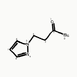 CC(C)(C)C(=O)CCn1cccn1